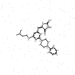 CN(C)CCOc1cc(C=C2SC(=O)NC2=O)nc(N2CCN(c3ncccn3)CC2)n1